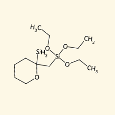 CCO[Si](CC1([SiH3])CCCCO1)(OCC)OCC